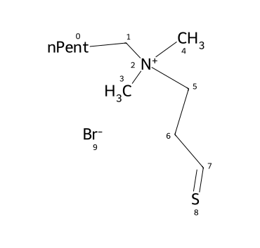 CCCCCC[N+](C)(C)CCC=S.[Br-]